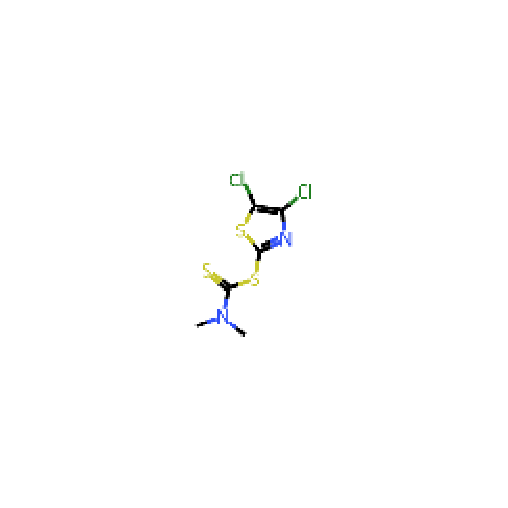 CN(C)C(=S)Sc1nc(Cl)c(Cl)s1